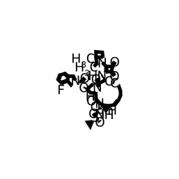 CC1N(c2c(N[C@H]3CCCCC/C=C\[C@@H]4C[C@@]4(C(=O)NS(=O)(=O)C4CC4)NC(=O)[C@@H]4C[C@@H](OC(=O)N5Cc6cccc(F)c6C5)CN4C3=O)c(=O)c2=O)C2CCC12C